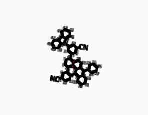 N#Cc1cc(-c2ccc(-c3cc(C#N)ccc3-c3c4ccccc4c(-c4ccccc4)c4ccccc34)cc2)cc(-n2c3ccccc3c3ccccc32)c1